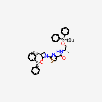 C[C@@H](CO[Si](c1ccccc1)(c1ccccc1)C(C)(C)C)NC(=O)c1csc(N2CC(C(C)(C)C)C2O[SiH](c2ccccc2)c2ccccc2)n1